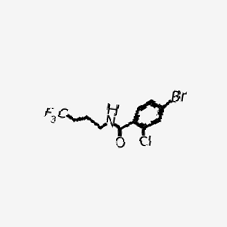 O=C(NCCCC(F)(F)F)c1ccc(Br)cc1Cl